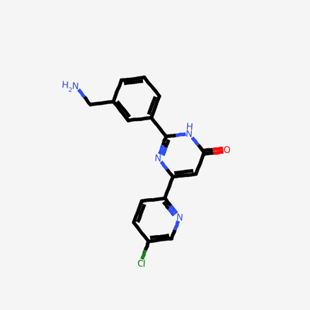 NCc1cccc(-c2nc(-c3ccc(Cl)cn3)cc(=O)[nH]2)c1